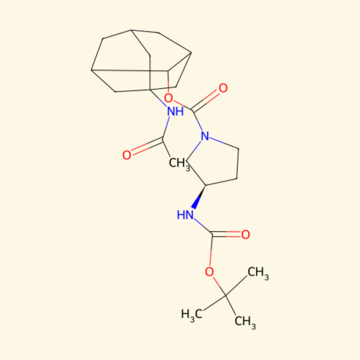 CC(=O)NC12CC3CC(C1)C(OC(=O)N1CC[C@@H](NC(=O)OC(C)(C)C)C1)C(C3)C2